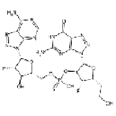 Nc1nc2c(nnn2[C@@H]2O[C@H](CCO)[C@H](F)[C@H]2OP(O)(=S)OC[C@H]2O[C@@H](n3nnc4c(N)ncnc43)[C@@H](F)[C@@H]2O)c(=O)[nH]1